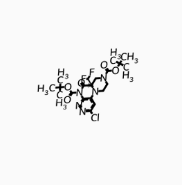 CC(C)(C)OC(=O)N1CCN2c3cc(Cl)nnc3N(C(=O)OC(C)(C)C)C(=O)[C@]2(C(F)F)C1